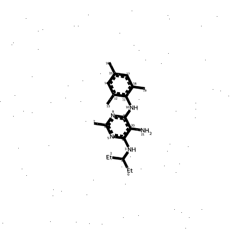 CCC(CC)Nc1nc(C)nc(Nc2c(C)cc(C)cc2C)c1N